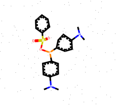 CN(C)c1ccc(P(OS(=O)(=O)c2ccccc2)c2ccc(N(C)C)cc2)cc1